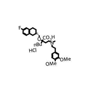 CCCCC(CCN(C)CCc1ccc(OC)c(OC)c1)(OC[C@H]1CCc2cc(F)ccc2C1)C(=O)O.Cl